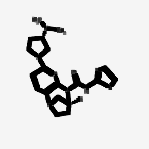 CN(C)[C@H]1CCN(c2ccc3c(n2)N(C(=O)Nc2nccs2)[C@H]2CCN3C2)C1